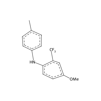 COc1ccc(Nc2ccc(C)cc2)c(C(F)(F)F)c1